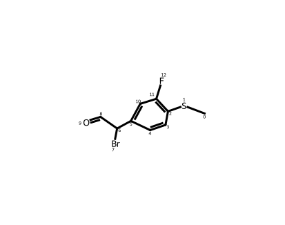 CSc1ccc(C(Br)C=O)cc1F